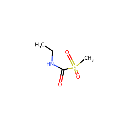 CCNC(=O)S(C)(=O)=O